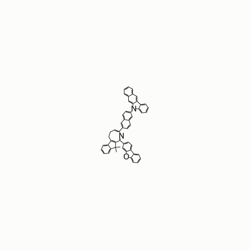 CC1(C)C2=C(CC/C=C(c3ccc4cc(-n5c6ccccc6c6cc7ccccc7cc65)ccc4c3)\N=C/2c2ccc3c(c2)oc2ccccc23)c2ccccc21